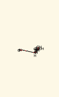 CCN1C(=O)N(c2c(F)c(O)cc(O)c2F)Cc2cnc3[nH]c(CCCCCCCCCCCCCCCCCCN4CCOCC4)cc3c21